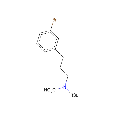 CC(C)(C)N(CCCc1cccc(Br)c1)C(=O)O